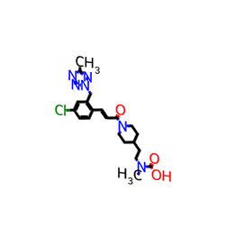 Cc1nnn(Cc2cc(Cl)ccc2C=CC(=O)N2CCC(CCN(C)C(=O)O)CC2)n1